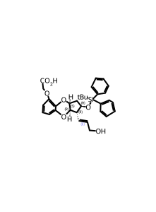 CC(C)(C)[Si](O[C@@H]1C[C@@H]2Oc3c(OCC(=O)O)cccc3O[C@@H]2[C@H]1/C=C/CO)(c1ccccc1)c1ccccc1